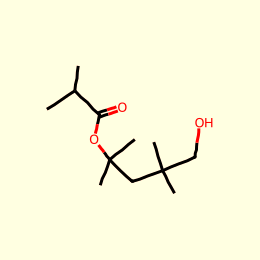 CC(C)C(=O)OC(C)(C)CC(C)(C)CO